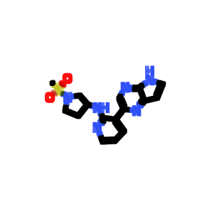 CS(=O)(=O)N1CCC(Nc2ncccc2-c2cnc3[nH]ccc3n2)C1